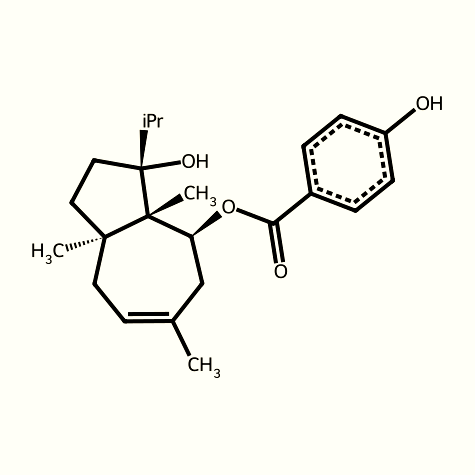 CC1=CC[C@@]2(C)CC[C@@](O)(C(C)C)[C@]2(C)[C@@H](OC(=O)c2ccc(O)cc2)C1